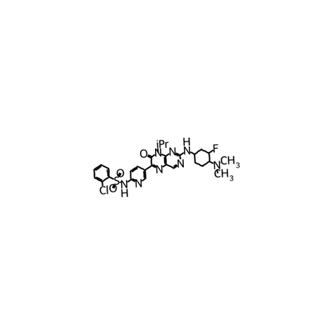 CC(C)n1c(=O)c(-c2ccc(NS(=O)(=O)c3ccccc3Cl)nc2)nc2cnc(NC3CCC(N(C)C)C(F)C3)nc21